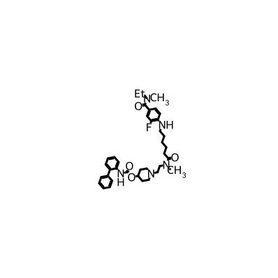 CCN(C)C(=O)c1ccc(NCCCCCC(=O)N(C)CCN2CCC(OC(=O)Nc3ccccc3-c3ccccc3)CC2)c(F)c1